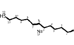 CCCCCCCCCCCCS.[Na]